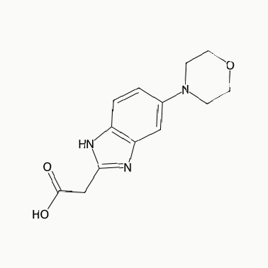 O=C(O)Cc1nc2cc(N3CCOCC3)ccc2[nH]1